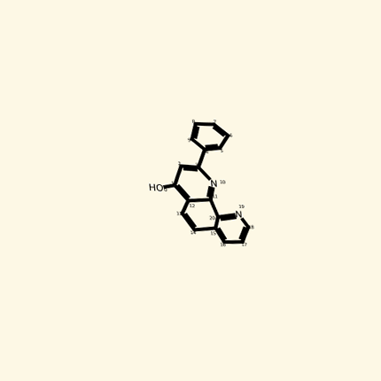 Oc1cc(-c2ccccc2)nc2c1ccc1cccnc12